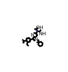 C=C(C)c1ccc(-c2cn(CC3(C)CCCCC3)c3cc(/C(C(C)=N)=C(\C)O)cnc23)cc1CC